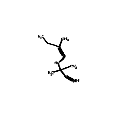 CC/C(C)=C\NC(C)(C)C=N